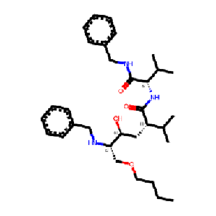 CCCCOC[C@H](NCc1ccccc1)[C@@H](O)C[C@H](C(=O)N[C@H](C(=O)NCc1ccccc1)C(C)C)C(C)C